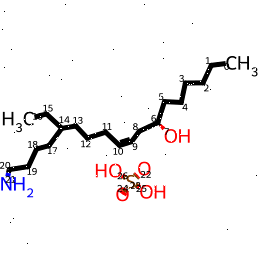 CCCCCC[C@@H](O)C/C=C\CCCC(CC)CCCCN.O=S(=O)(O)O